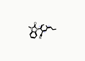 C\C=C(/C(C#N)=C\C(C)=C/CC)n1c(=O)n(C)c2ccccc21